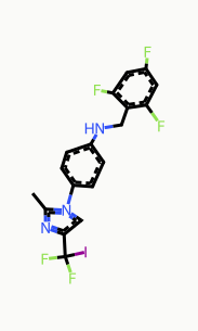 Cc1nc(C(F)(F)I)cn1-c1ccc(NCc2c(F)cc(F)cc2F)cc1